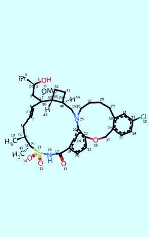 CO[C@@]1(C[C@H](O)C(C)C)/C=C/C[C@H](C)[C@@H](C)S(=O)(=O)NC(=O)c2ccc3c(c2)N(CCCCc2cc(Cl)ccc2CO3)C[C@@H]2CC[C@H]21